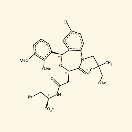 COc1cccc([C@@H]2O[C@H](CC(=O)N[C@H](CC(C)C)C(=O)O)C(=O)N(CC(C)(C)COC(C)=O)c3ccc(Cl)cc32)c1OC